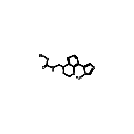 Cn1cncc1-c1cccc2c1OCCC2CNC(=O)OC(C)(C)C